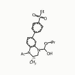 CCS(=O)(=O)c1ccc(-c2ccc3c(c2)N(C(O)OC(C)C)C[C@H](C)N3C(C)=O)cc1